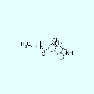 CCCCNC(=O)C1CC2c3cccc4[nH]cc(c34)C[C@H]2N(C)C1